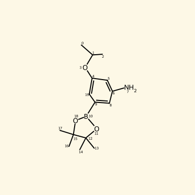 CC(C)Oc1cc(N)cc(B2OC(C)(C)C(C)(C)O2)c1